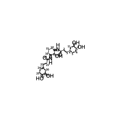 O=C(C=Cc1ccc(O)c(O)c1)N[C@@H]1CCC[C@@H](NC(=O)C=Cc2ccc(O)c(O)c2)C1O